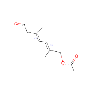 CC(=O)OC/C(C)=C/C=C(\C)CC=O